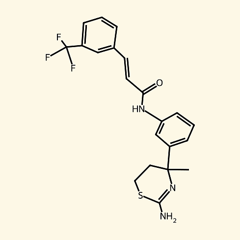 CC1(c2cccc(NC(=O)/C=C/c3cccc(C(F)(F)F)c3)c2)CCSC(N)=N1